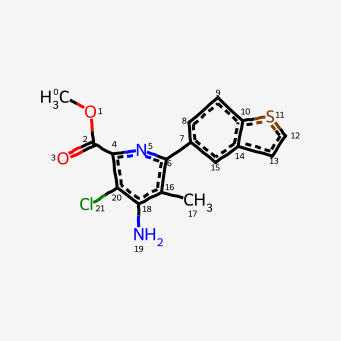 COC(=O)c1nc(-c2ccc3sccc3c2)c(C)c(N)c1Cl